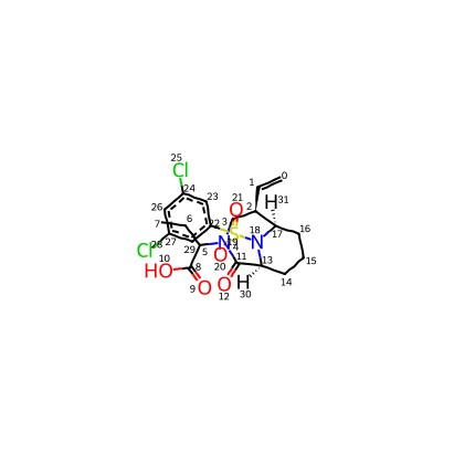 C=C[C@@H]1CN(C(CC)C(=O)O)C(=O)[C@@H]2CCC[C@H]1N2S(=O)(=O)c1cc(Cl)cc(Cl)c1